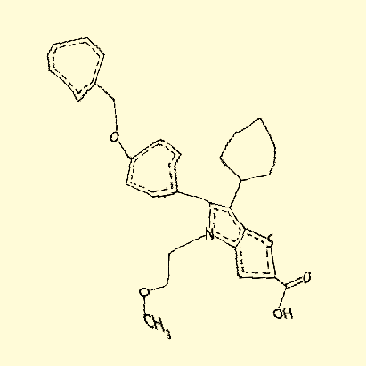 COCCn1c(-c2ccc(OCc3ccccc3)cc2)c(C2CCCCC2)c2sc(C(=O)O)cc21